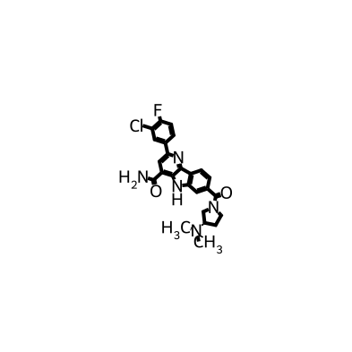 CN(C)[C@H]1CCN(C(=O)c2ccc3c(c2)[nH]c2c(C(N)=O)cc(-c4ccc(F)c(Cl)c4)nc23)C1